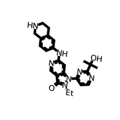 CCn1c(=O)c2cnc(Nc3ccc4c(c3)CCNC4)cc2n1-c1ccnc(C(C)(C)O)n1